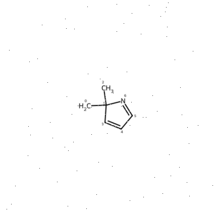 [CH2]C1(C)C=CC=N1